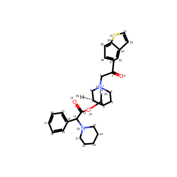 O=C(C[N+]12CCC(CC1)[C@@H](OC(=O)C(c1ccccc1)N1CCCCC1)C2)c1ccc2sccc2c1